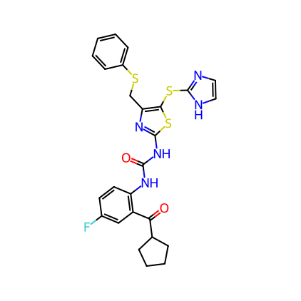 O=C(Nc1nc(CSc2ccccc2)c(Sc2ncc[nH]2)s1)Nc1ccc(F)cc1C(=O)C1CCCC1